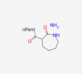 CCCCCC(=O)C1CCCCNC1=O.N